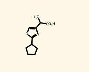 CC(C(=O)O)c1coc(C2CCCC2)n1